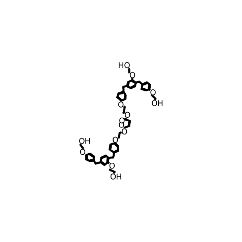 O=C(/C=C\C(=O)OCCOc1ccc(Cc2ccc(Cc3ccc(OCCO)cc3)cc2OCCO)cc1)OCCOc1ccc(Cc2ccc(Cc3ccc(OCCO)cc3)c(OCCO)c2)cc1